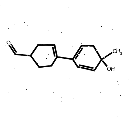 CC1(O)C=CC(C2=CCC(C=O)CC2)=CC1